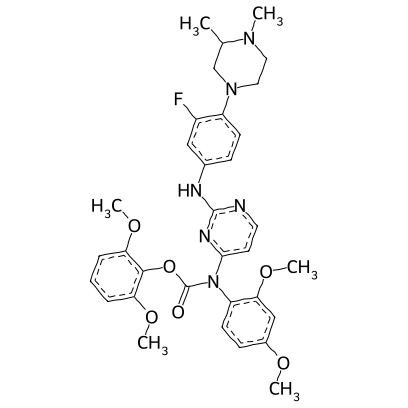 COc1ccc(N(C(=O)Oc2c(OC)cccc2OC)c2ccnc(Nc3ccc(N4CCN(C)C(C)C4)c(F)c3)n2)c(OC)c1